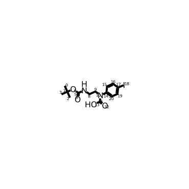 CC(C)(C)OC(=O)NCCN(C(=O)O)c1ccc(I)cc1